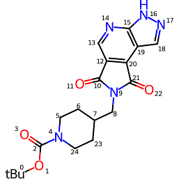 CC(C)(C)OC(=O)N1CCC(CN2C(=O)c3cnc4[nH]ncc4c3C2=O)CC1